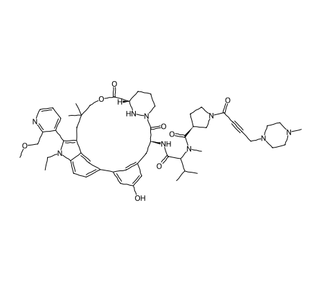 CCn1c(-c2cccnc2COC)c2c3cc(ccc31)-c1cc(O)cc(c1)C[C@H](NC(=O)C(C(C)C)N(C)C(=O)[C@H]1CCN(C(=O)C#CCN3CCN(C)CC3)C1)C(=O)N1CCC[C@H](N1)C(=O)OCC(C)(C)C2